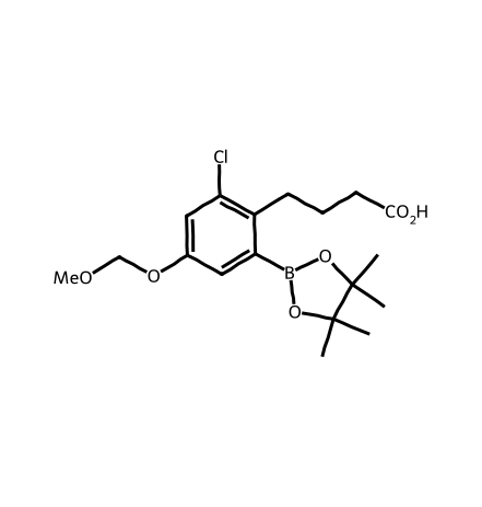 COCOc1cc(Cl)c(CCCC(=O)O)c(B2OC(C)(C)C(C)(C)O2)c1